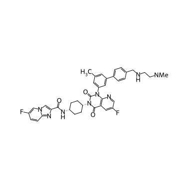 CNCCNCc1ccc(-c2cc(C)cc(-n3c(=O)n([C@H]4CC[C@@H](NC(=O)c5cn6cc(F)ccc6n5)CC4)c(=O)c4cc(F)cnc43)c2)cc1